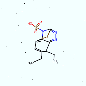 CCC1=CC2=C3C(=NN=C(S2)N3S(=O)(=O)O)C1CC